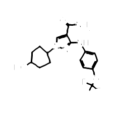 NC(=O)c1cn(C2CCC(O)CC2)nc1Nc1ccc(OC(F)(F)F)cc1